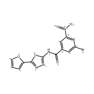 O=C(Nc1nnc(-c2ccco2)o1)c1cc(Br)cc([N+](=O)[O-])c1